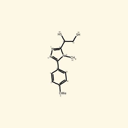 COc1ccc(-c2nnc(C(S)CS)n2C)cc1